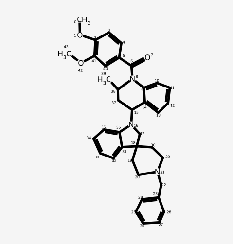 COc1ccc(C(=O)N2c3ccccc3C(N3CC4(CCN(Cc5ccccc5)CC4)c4ccccc43)CC2C)cc1OC